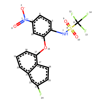 O=[N+]([O-])c1ccc(NS(=O)(=O)C(F)(F)F)c(Oc2cccc3cc(F)ccc23)c1